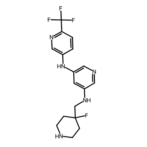 FC1(CNc2cncc(Nc3ccc(C(F)(F)F)nc3)c2)CCNCC1